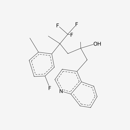 Cc1ccc(F)cc1C(C)(CC(C)(O)Cc1ccnc2ccccc12)C(F)(F)F